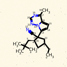 CCC1C[C@@H](CC(C)(C)C)C(C#N)(c2ccc3c(C)ncnn23)C1